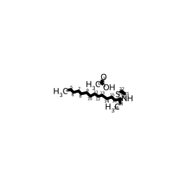 CC(=O)O.CCCCCCCCCCCCCC1(CC)NC=CS1